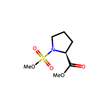 COC(=O)[C@@H]1CCCN1S(=O)(=O)OC